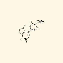 C=C1C=CC([C@@H](C)N(C)C)=C1Pc1cc(C)c(OC)c(C)c1